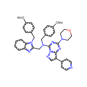 COc1ccc(CN(Cc2nc3ccccc3n2Cc2ccc(OC)cc2)c2nc(N3CCOCC3)nc3c(-c4ccncc4)cnn23)cc1